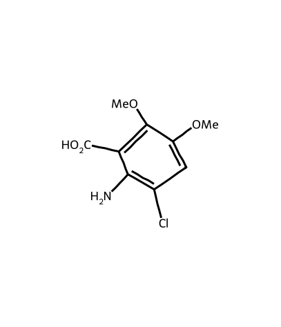 COc1cc(Cl)c(N)c(C(=O)O)c1OC